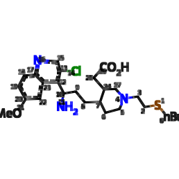 CCCCSCCN1CCC(CCC(N)c2c(Cl)cnc3ccc(OC)cc23)C(CC(=O)O)C1